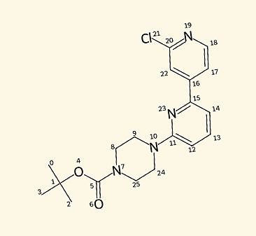 CC(C)(C)OC(=O)N1CCN(c2cccc(-c3ccnc(Cl)c3)n2)CC1